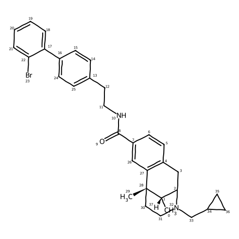 C[C@H]1C2Cc3ccc(C(=O)NCCc4ccc(-c5ccccc5Br)cc4)cc3[C@@]1(C)CCN2CC1CC1